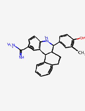 Cc1cc(C2Nc3ccc(C(=N)N)cc3C3c4ccccc4CCC23)ccc1O